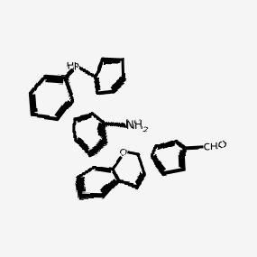 C1=Cc2ccccc2OC1.Nc1ccccc1.O=Cc1ccccc1.c1ccc(Pc2ccccc2)cc1